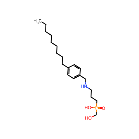 CCCCCCCCCc1ccc(CNCCCP(=O)(O)CO)cc1